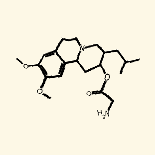 COc1cc2c(cc1OC)C1CC(OC(=O)CN)C(CC(C)C)CN1CC2